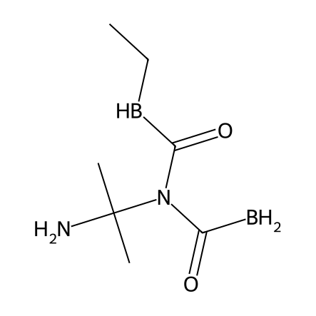 BC(=O)N(C(=O)BCC)C(C)(C)N